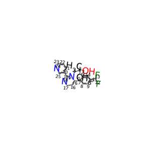 CC(C)(O)CN1C(c2ccc(C(F)F)cc2)=CC=NC1c1cccnc1